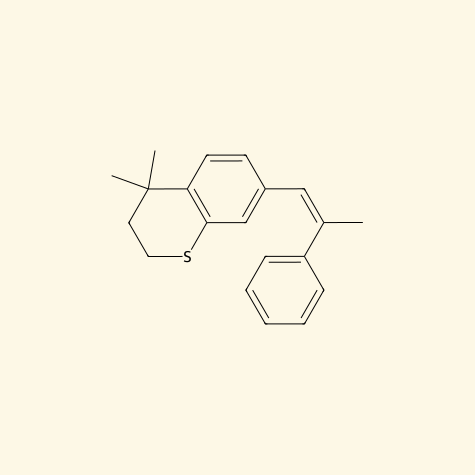 CC(=Cc1ccc2c(c1)SCCC2(C)C)c1ccccc1